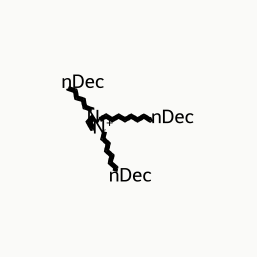 CCCCCCCCCCCCCCCCCCc1n(CCCCCCCCCCCCCCCC)cc[n+]1CCCCCCCCCCCCCCCCC